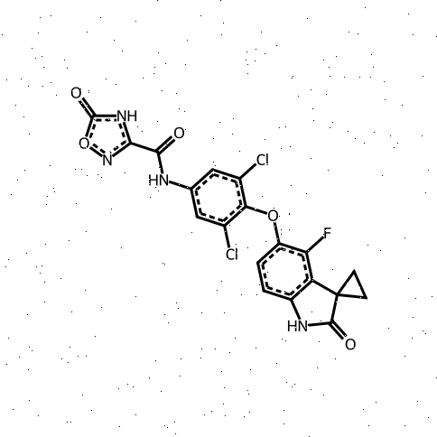 O=C(Nc1cc(Cl)c(Oc2ccc3c(c2F)C2(CC2)C(=O)N3)c(Cl)c1)c1noc(=O)[nH]1